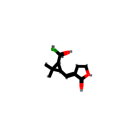 CC1(C)C(C=C2CCOC2=O)C1C(=O)Cl